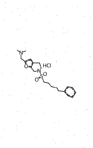 CN(C)Cc1cc2c(o1)CN(S(=O)(=O)CCCCCc1ccccc1)CC2.Cl